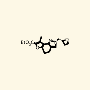 CCOC(=O)c1oc2c(c1C)-c1nn(C[C@H]3CCO3)cc1CC2